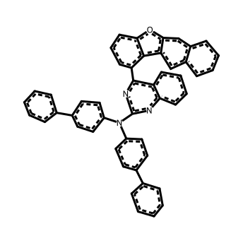 c1ccc(-c2ccc(N(c3ccc(-c4ccccc4)cc3)c3nc(-c4cccc5oc6cc7ccccc7cc6c45)c4ccccc4n3)cc2)cc1